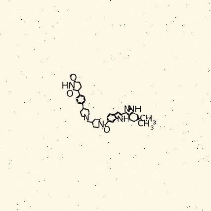 CC1(C)CCc2c(-c3cc4ccc(C(=O)N5CCC(CN6CCC(c7ccc(C8CCC(=O)NC8=O)cc7)CC6)CC5)cc4[nH]3)n[nH]c2C1